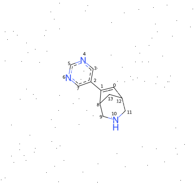 C1=C(c2cncnc2)C2CNCC1C2